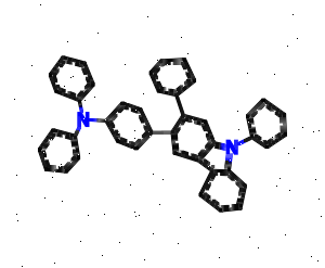 c1ccc(-c2cc3c(cc2-c2ccc(N(c4ccccc4)c4ccccc4)cc2)c2ccccc2n3-c2ccccc2)cc1